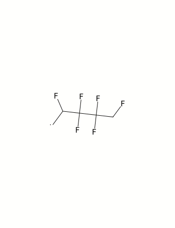 [CH2]C(F)C(F)(F)C(F)(F)CF